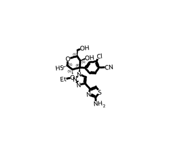 CCO[C@@H]1[C@H](S)O[C@@H](CO)[C@@H](O)[C@@]1(c1ccc(C#N)c(Cl)c1)n1cc(-c2csc(N)n2)nn1